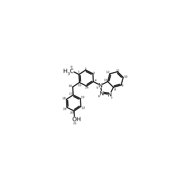 Cc1ccc(-n2nnc3ccccc32)cc1Cc1ccc(O)cc1